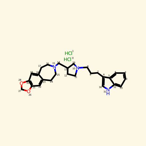 Cl.Cl.c1ccc2c(CCCN3CCC(CN4CCc5cc6c(cc5CC4)OCO6)C3)c[nH]c2c1